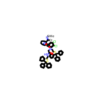 CCC(=NOC)C1C(c2ccc(Cl)c(Cl)c2)CC2CCC1N2CCCN(CCSC(c1ccccc1)(c1ccccc1)c1ccccc1)CC(=O)NCCSC(c1ccccc1)(c1ccccc1)c1ccccc1